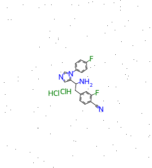 Cl.Cl.N#Cc1ccc(CC(N)c2cncn2-c2ccc(F)cc2)cc1F